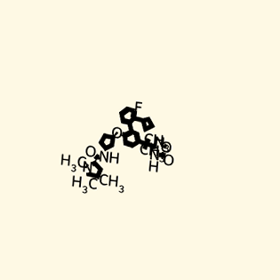 CN1CC(C)(C)C[C@H]1C(=O)N[C@@H]1CC[C@@H](Oc2ccc(C(C)(C)c3noc(=O)[nH]3)cc2-c2cccc(F)c2C2CCC2)C1